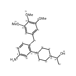 COc1cc(Cc2cnc(N)nc2N2CCN(C(C)O)CC2)cc(OC)c1OC